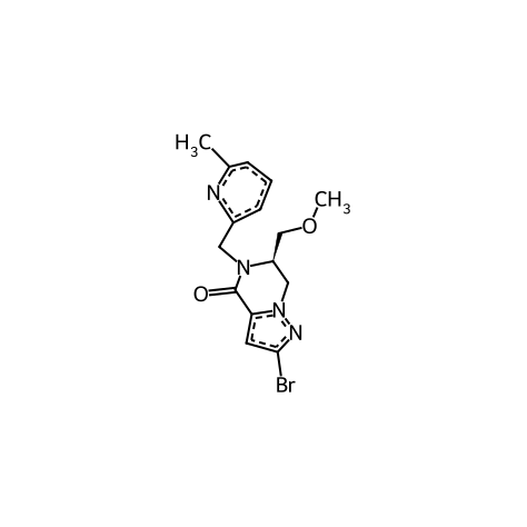 COC[C@H]1Cn2nc(Br)cc2C(=O)N1Cc1cccc(C)n1